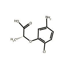 C[C@@H](Oc1cc(N)ccc1Cl)C(=O)O